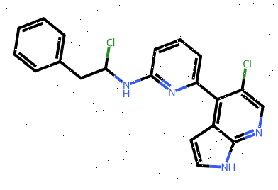 Clc1cnc2[nH]ccc2c1-c1cccc(NC(Cl)Cc2ccccc2)n1